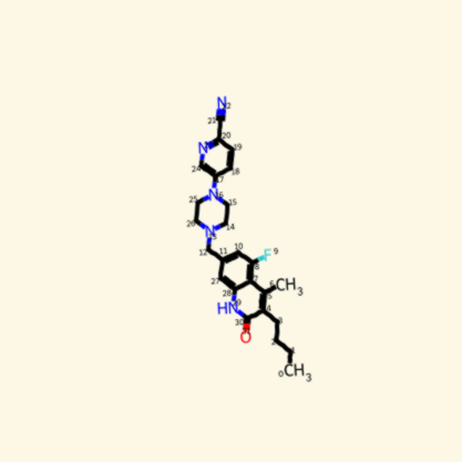 CCCCc1c(C)c2c(F)cc(CN3CCN(c4ccc(C#N)nc4)CC3)cc2[nH]c1=O